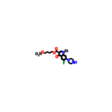 CCn1cc(C(=O)OCCCCO[N+](=O)[O-])c(=O)c2cc(F)c(N3CCNCC3)cc21